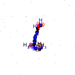 COc1cc(N2CCC(N3CCN(CCN4CCC(c5ccc(NC6CCC(=O)NC6=O)cc5)CC4)CC3)CC2)c(C)cc1Nc1ncc(Br)c(Nc2cccc3ccn(S(C)(=O)=O)c23)n1